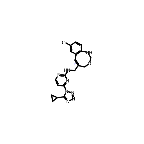 Clc1ccc2c(c1)/C=C(/CNc1nccc(-n3nnnc3C3CC3)n1)COCN2